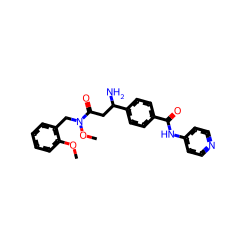 COc1ccccc1CN(OC)C(=O)CC(N)c1ccc(C(=O)Nc2ccncc2)cc1